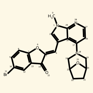 Cn1cc(/C=C2\Oc3ccc(Br)cc3C2=O)c2c(N3CC4CCC(C3)O4)ccnc21